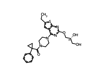 CCc1cc2c(N3CCN(C(=O)C4(c5ccccc5)CC4)CC3)nc(OC[C@H](O)CO)nc2s1